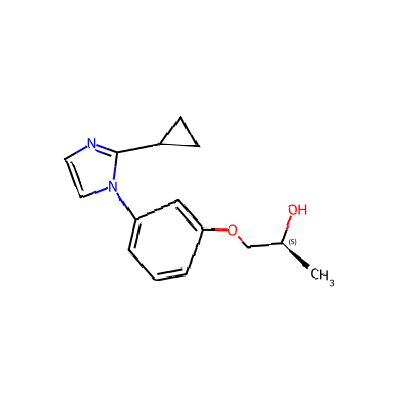 C[C@H](O)COc1cccc(-n2ccnc2C2CC2)c1